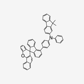 CC1(C)c2ccccc2-c2ccc(N(c3ccccc3)c3ccc(-c4cccc5c4-c4ccccc4C54c5ccccc5Oc5c4ccc4ccccc54)cc3)cc21